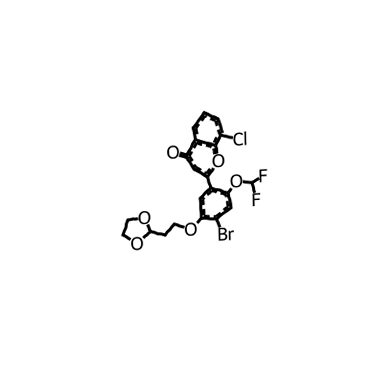 O=c1cc(-c2cc(OCCC3OCCO3)c(Br)cc2OC(F)F)oc2c(Cl)cccc12